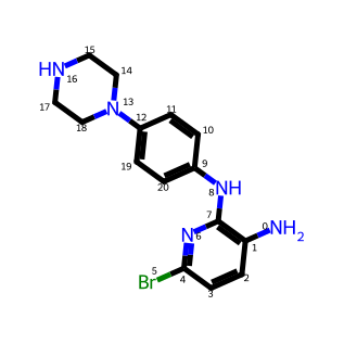 Nc1ccc(Br)nc1Nc1ccc(N2CCNCC2)cc1